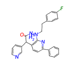 NC(=O)C(c1cccnc1)c1ccc(-c2ccccc2)nc1NCCc1ccc(F)cc1